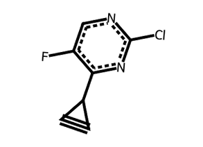 Fc1cnc(Cl)nc1C1C#C1